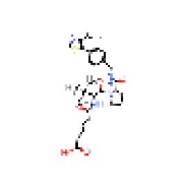 Cc1ncsc1-c1ccc(CNC(=O)C2CCCN2C(=O)C(NC(=O)CCCCC(=O)O)C(C)(C)C)cc1